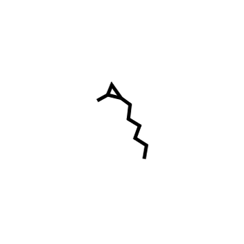 CCCCCCC1CC1C